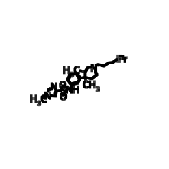 CC(C)CCCCN1CC[C@](C)(c2cccc(NS(=O)(=O)c3cn(C)cn3)c2)[C@@H](C)C1